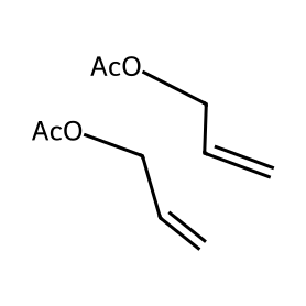 C=CCOC(C)=O.C=CCOC(C)=O